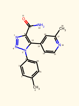 Cc1ccc(-n2nnc(C(N)=O)c2-c2ccnc(C)c2)cc1